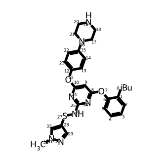 CCC(C)c1ccccc1Oc1cc(Oc2ccc(N3CCNCC3)cc2)nc(NSc2cnn(C)c2)n1